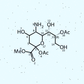 COC(=O)C1(OC(C)=O)CC(O)C(N)C([C@H](O)[C@@H](CO)OC(C)=O)O1